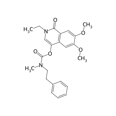 CCn1cc(OC(=O)N(C)CCc2ccccc2)c2cc(OC)c(OC)cc2c1=O